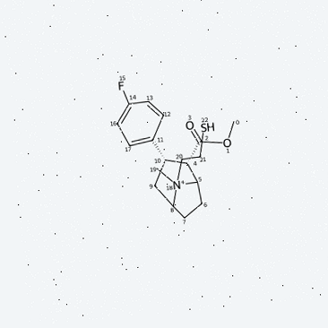 COC(=O)[C@@H]1C2CCC(C[C@@H]1c1ccc(F)cc1)[N+]2(C)CCS